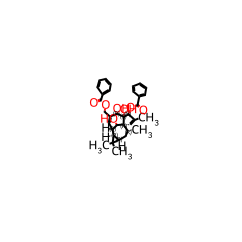 CC1=C[C@]23C(O)[C@@H](C=C(COC(=O)c4ccccc4)[C@@H](O)[C@]2(O)[C@H]1OC(=O)c1ccccc1)[C@H]1[C@@H](C[C@H]3C)C1(C)C